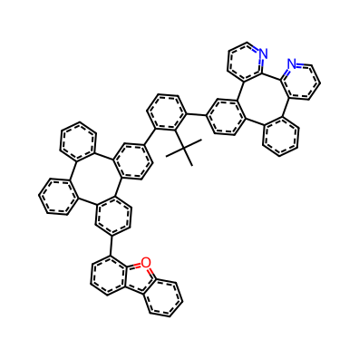 CC(C)(C)c1c(-c2ccc3c(c2)-c2ccccc2-c2ccccc2-c2cc(-c4cccc5c4oc4ccccc45)ccc2-3)cccc1-c1ccc2c(c1)-c1cccnc1-c1ncccc1-c1ccccc1-2